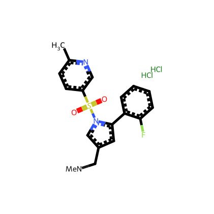 CNCc1cc(-c2ccccc2F)n(S(=O)(=O)c2ccc(C)nc2)c1.Cl.Cl